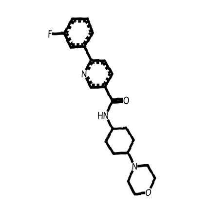 O=C(NC1CCC(N2CCOCC2)CC1)c1ccc(-c2cccc(F)c2)nc1